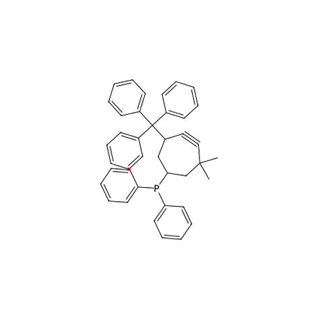 CC1(C)C#CC(C(c2ccccc2)(c2ccccc2)c2ccccc2)CC(P(c2ccccc2)c2ccccc2)C1